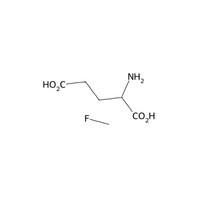 CF.NC(CCC(=O)O)C(=O)O